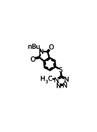 CCCCN1C(=O)c2ccc(Sc3nnnn3C)cc2C1=O